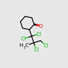 CC(Cl)(CCl)C(Cl)(Cl)C1CCCCC1=O